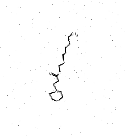 CCCCCCCCOC(=O)CCN1CCOCC1